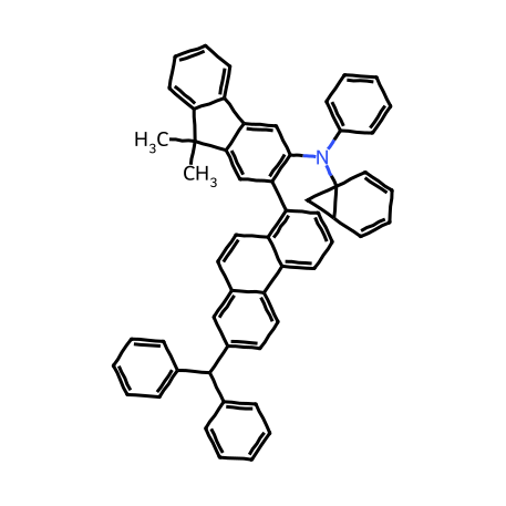 CC1(C)c2ccccc2-c2cc(N(c3ccccc3)C34C=CC=CC3C4)c(-c3cccc4c3ccc3cc(C(c5ccccc5)c5ccccc5)ccc34)cc21